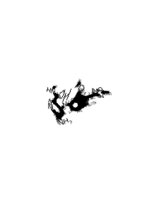 CNC(=O)c1nnc(N)cc1Nc1cccc(-c2noc(C)n2)c1OC